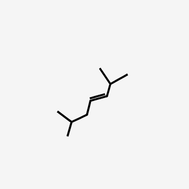 CC(C)/C=C/CC(C)C